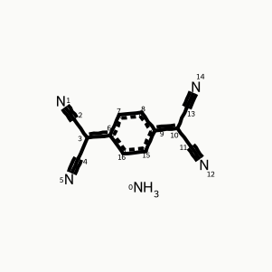 N.N#CC(C#N)=c1ccc(=C(C#N)C#N)cc1